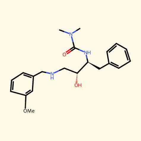 COc1cccc(CNC[C@@H](O)[C@H](Cc2ccccc2)NC(=O)N(C)C)c1